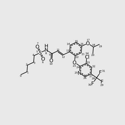 CCCCCS(=O)(=O)NC(=O)/C=C/c1ccc(OC(C)C)cc1Oc1ncc(C(F)(F)F)cc1Cl